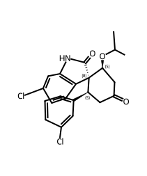 CC(C)O[C@H]1CC(=O)C[C@@H](c2cccc(Cl)c2)[C@]12C(=O)Nc1cc(Cl)ccc12